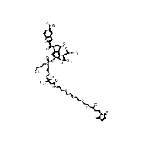 CCCCN(CCSSC(C)(C)CC(=O)NCCOCCOCCOCCNC(=O)CCN1C(=O)C=CC1=O)C(=O)Oc1cc2c(c3c(C(=O)OC)c(C)[nH]c13)[C@H](CCl)CN2C(=O)c1cc2cc([N+](=O)[O-])ccc2o1